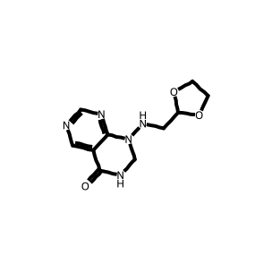 O=C1NCN(NCC2OCCO2)c2ncncc21